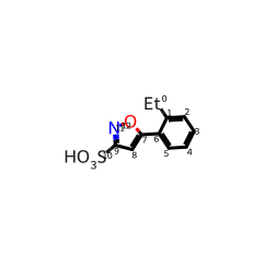 CCc1ccccc1-c1cc(S(=O)(=O)O)no1